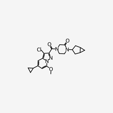 COc1cc(C2CC2)cc2c(Cl)c(C(=O)N3CCN(C4CC5CC5C4)C(=O)C3)nn12